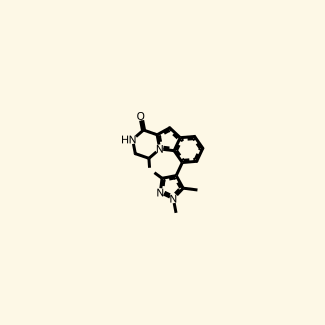 Cc1nn(C)c(C)c1-c1cccc2cc3n(c12)C(C)CNC3=O